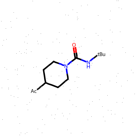 CC(=O)C1CCN(C(=O)NC(C)(C)C)CC1